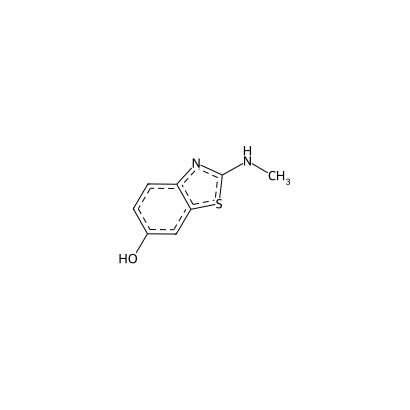 CNc1nc2ccc(O)cc2s1